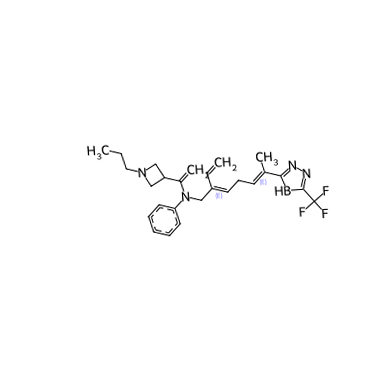 C=C/C(=C\C/C=C(\C)C1=NN=C(C(F)(F)F)B1)CN(C(=C)C1CN(CCC)C1)c1ccccc1